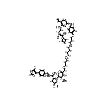 C=Cc1cnc(Nc2ccc(OCCCOCCCCOCCCOCC(=O)N[C@@H](C(=O)N3C[C@@H](O)C[C@@H]3C(=O)NCc3ccc(-c4scnc4C)cc3)C(C)(C)C)cc2)nc1NCCN(C)C(=O)C1CCC1